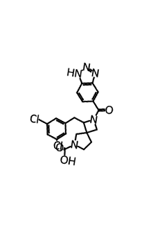 O=C(O)N1CCC2(C1)CN(C(=O)c1ccc3[nH]nnc3c1)C2Cc1cc(Cl)cc(Cl)c1